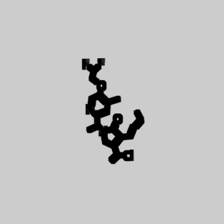 C=C(Cl)C1=C(C=C=CC)C(=O)N(C(C)c2cc(C)c(OCC(F)F)cn2)C1